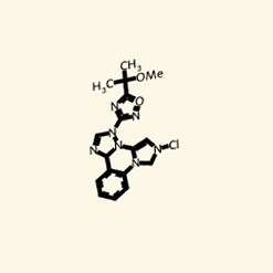 COC(C)(C)c1nc(N2C=NC3c4ccccc4N4CN(Cl)C=C4N32)no1